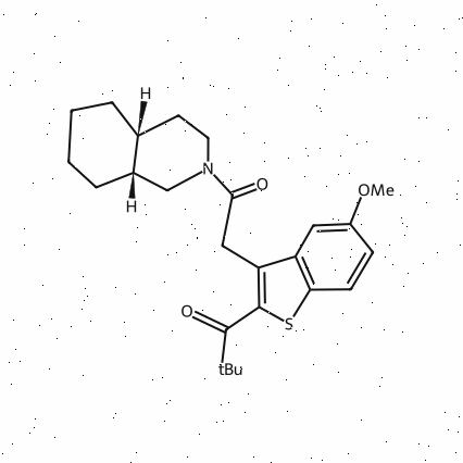 COc1ccc2sc(C(=O)C(C)(C)C)c(CC(=O)N3CC[C@H]4CCCC[C@H]4C3)c2c1